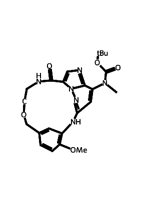 COc1ccc2cc1Nc1cc(N(C)C(=O)OC(C)(C)C)c3ncc(n3n1)C(=O)NCCOC2